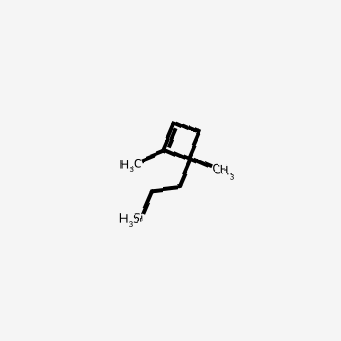 CC1=CCC1(C)CC[SiH3]